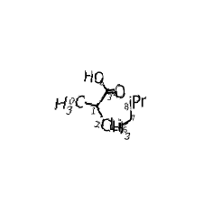 CC(C)C(=O)O.[Li][CH2]C(C)C